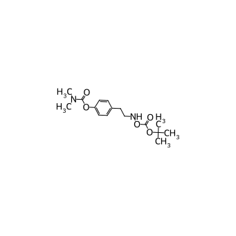 CN(C)C(=O)Oc1ccc(CCNOC(=O)OC(C)(C)C)cc1